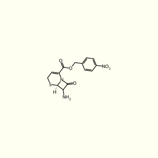 NC1C(=O)N2C(C(=O)OCc3ccc([N+](=O)[O-])cc3)=CCS[C@H]12